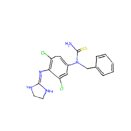 NC(=S)N(Cc1ccccc1)c1cc(Cl)c(N=C2NCCN2)c(Cl)c1